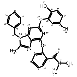 Cc1nc2c(Oc3ccccc3C(=O)N(C)C)nc(Oc3cc(C#N)ccc3O)nc2n1Cc1ccccc1